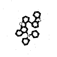 c1ccc(N(c2ccccc2)c2cc3c(oc4cccc(-c5cccc6sc7ccccc7c56)c43)c3ccccc23)cc1